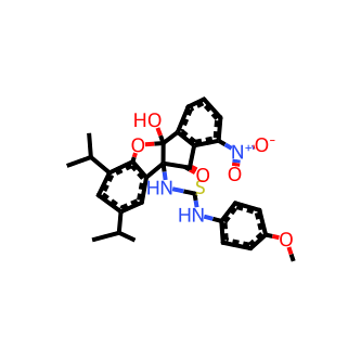 COc1ccc(NC(=S)NC23C(=O)c4c([N+](=O)[O-])cccc4C2(O)Oc2c(C(C)C)cc(C(C)C)cc23)cc1